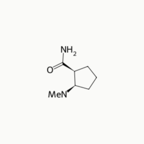 CN[C@@H]1CCC[C@@H]1C(N)=O